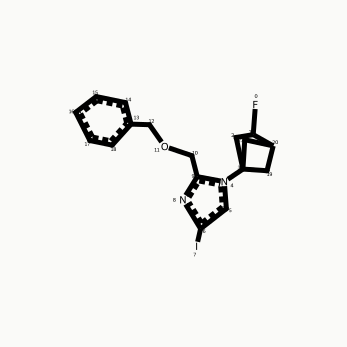 FC1CC2(n3cc(I)nc3COCc3ccccc3)CC1C2